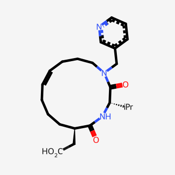 CC(C)[C@@H]1NC(=O)[C@@H](CC(=O)O)CCCC=CCCCN(Cc2cccnc2)C1=O